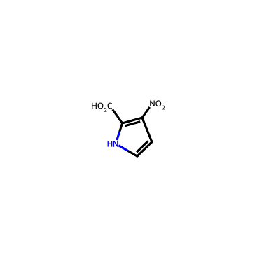 O=C(O)c1[nH]ccc1[N+](=O)[O-]